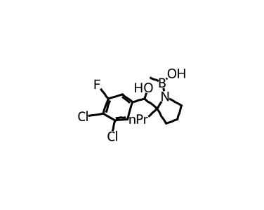 CCCC1(C(O)c2cc(F)c(Cl)c(Cl)c2)CCCN1B(C)O